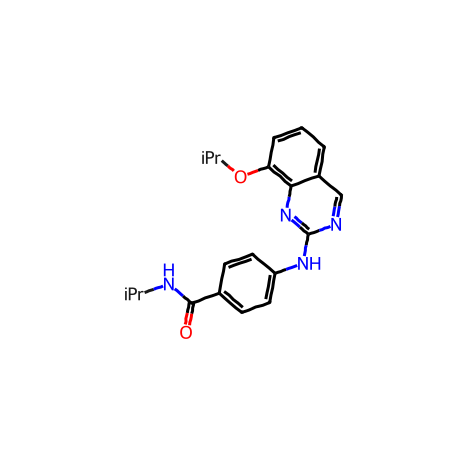 CC(C)NC(=O)c1ccc(Nc2ncc3cccc(OC(C)C)c3n2)cc1